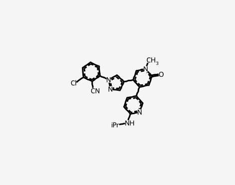 CC(C)Nc1ccc(-c2cc(=O)n(C)cc2-c2cnn(-c3cccc(Cl)c3C#N)c2)cn1